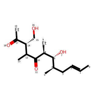 C/C=C/C[C@@H](C)[C@@H](O)[C@H](CC)C(=O)C(C)[C@@H](CO)C(=O)CC